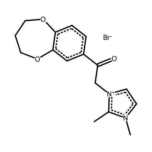 Cc1n(C)cc[n+]1CC(=O)c1ccc2c(c1)OCCCO2.[Br-]